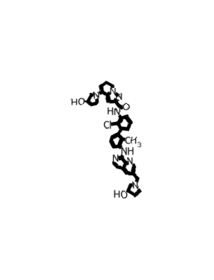 Cc1c(Nc2nccc3cc(CN4CC[C@@H](O)C4)cnc23)cccc1-c1cccc(NC(=O)c2cc3n(n2)CCCC3N2CC[C@@H](O)C2)c1Cl